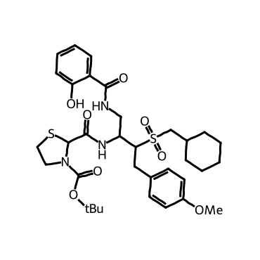 COc1ccc(CC(C(CNC(=O)c2ccccc2O)NC(=O)C2SCCN2C(=O)OC(C)(C)C)S(=O)(=O)CC2CCCCC2)cc1